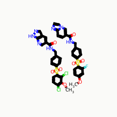 COc1c(Cl)ccc(S(=O)(=O)c2ccc(CNC(=O)c3cnc4[nH]ncc4c3)cc2)c1Cl.COc1ccc(S(=O)(=O)c2ccc(CNC(=O)c3ccc4nccn4c3)cc2)c(F)c1